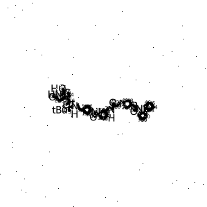 CC(C)(C)[Si](C)(C)O[C@H](CNCCc1ccc(NC(=O)c2cccc(CNC(=O)CCN3CCC(OC(=O)Nc4ccccc4-c4ccccc4)CC3)c2)cc1)c1ccc(O)c2[nH]c(=O)ccc12